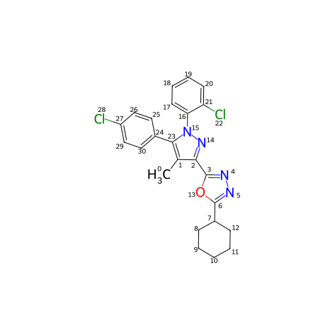 Cc1c(-c2nnc(C3CCCCC3)o2)nn(-c2ccccc2Cl)c1-c1ccc(Cl)cc1